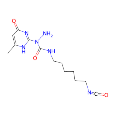 Cc1cc(=O)nc(N(N)C(=O)NCCCCCCN=C=O)[nH]1